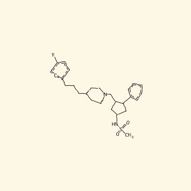 CS(=O)(=O)NC1CC(CN2CCC(CCCc3ccc(F)cc3)CC2)C(c2ccccc2)C1